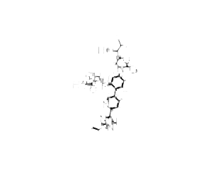 C=Cn1nnc(-c2ccc(-c3ccc(N4C[C@@H](C(O)CC)OC4=O)cc3F)cn2)n1.O=P(O)(O)O